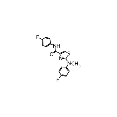 CN(c1ccc(F)cc1)c1nc(C(=O)Nc2ccc(F)cc2)cs1